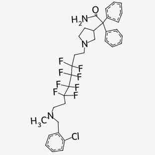 CN(CCC(F)(F)C(F)(F)C(F)(F)C(F)(F)CCN1CCC(C(C(N)=O)(c2ccccc2)c2ccccc2)C1)Cc1ccccc1Cl